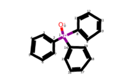 [O-][I+](c1ccccc1)(c1ccccc1)c1ccccc1